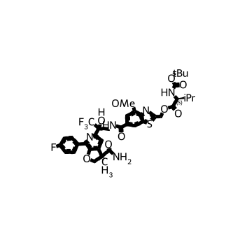 COc1cc(C(=O)NCC(O)(c2cc3c(c(-c4ccc(F)cc4)n2)OC[C@]3(C)C(N)=O)C(F)(F)F)cc2sc(COC(=O)[C@@H](NC(=O)OC(C)(C)C)C(C)C)nc12